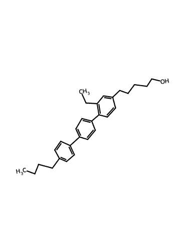 CCCCc1ccc(-c2ccc(-c3ccc(CCCCCO)cc3CC)cc2)cc1